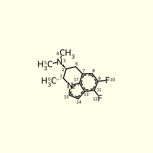 C[C@@H]1[C@@H](N(C)C)Cc2cc(F)c(F)c3ccn1c23